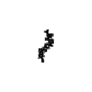 CN(c1nccc(Nc2cc(C3CC3)[nH]n2)n1)C1CCN(CC(=O)NC2Cc3ccc(C#N)cc3C2)CC1